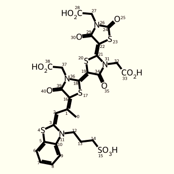 C/C(C=C1Sc2ccccc2N1CCCS(=O)(=O)O)=c1\s/c(=c2/s/c(=C3/SC(=O)N(CC(=O)O)C3=O)n(CC(=O)O)c2=O)n(CC(=O)O)c1=O